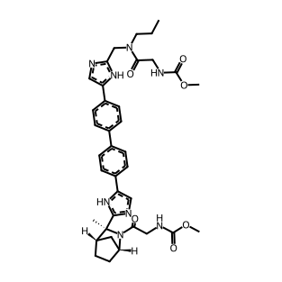 CCCN(Cc1ncc(-c2ccc(-c3ccc(-c4cnc([C@]5(C)[C@H]6CC[C@H](C6)N5C(=O)CNC(=O)OC)[nH]4)cc3)cc2)[nH]1)C(=O)CNC(=O)OC